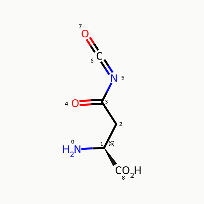 N[C@@H](CC(=O)N=C=O)C(=O)O